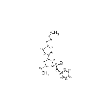 CCCCC1CC=C(C(CCCC)CCC(=O)Oc2ccccc2)CC1